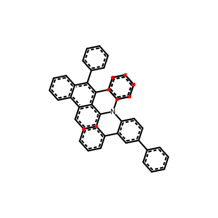 c1ccc(-c2ccc(N(c3ccccc3)c3cccc4c3c(-c3ccccc3)c(-c3ccccc3)c3ccccc34)c(-c3ccccc3)c2)cc1